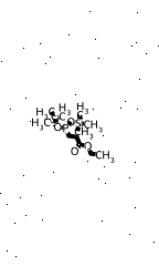 CCOC(=O)CCP(O[Si](C)(C)C)O[Si](C)(C)C